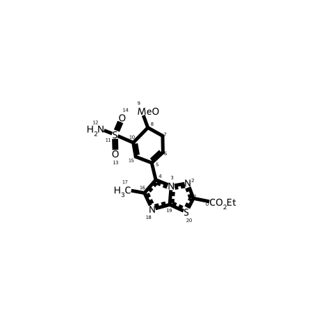 CCOC(=O)c1nn2c(C3=CCC(OC)C(S(N)(=O)=O)=C3)c(C)nc2s1